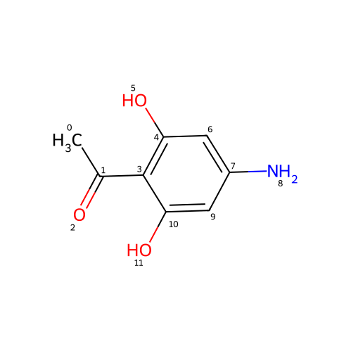 CC(=O)c1c(O)cc(N)cc1O